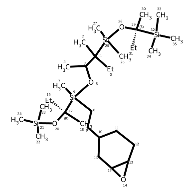 CCC(C)(C(C)O[Si](C)(CCC1CCC2OC2C1)[C@](C)(CC)O[Si](C)(C)C)[Si](C)(C)O[C@](C)(CC)[Si](C)(C)C